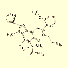 COc1ccccc1[C@H](Cn1c(=O)n(C(C)(C)C(N)=O)c(=O)c2c(C)c(-n3cccn3)sc21)OCCC#N